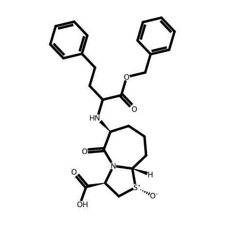 O=C(OCc1ccccc1)C(CCc1ccccc1)N[C@H]1CCC[C@H]2N(C1=O)[C@H](C(=O)O)C[S@@+]2[O-]